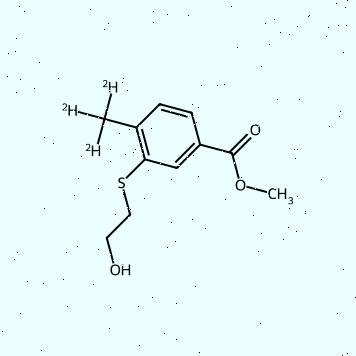 [2H]C([2H])([2H])c1ccc(C(=O)OC)cc1SCCO